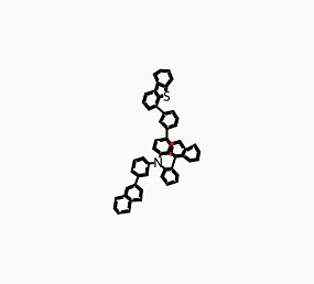 c1cc(-c2ccc(N(c3cccc(-c4ccc5ccccc5c4)c3)c3ccccc3-c3cccc4ccccc34)cc2)cc(-c2cccc3c2sc2ccccc23)c1